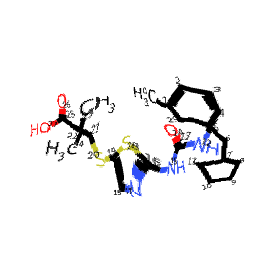 CC1=CC=CC(CC2CCCC2)(NC(=O)Nc2ncc(SCC(C)(C)C(=O)O)s2)C1